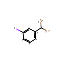 BrC(Br)c1cccc(I)c1